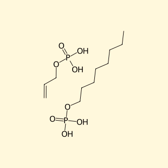 C=CCOP(=O)(O)O.CCCCCCCCOP(=O)(O)O